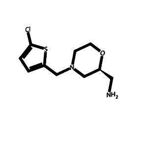 NC[C@H]1CN(Cc2ccc(Cl)s2)CCO1